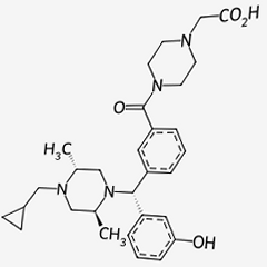 C[C@@H]1CN([C@@H](c2cccc(O)c2)c2cccc(C(=O)N3CCN(CC(=O)O)CC3)c2)[C@@H](C)CN1CC1CC1